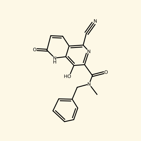 CN(Cc1ccccc1)C(=O)c1nc(C#N)c2ccc(=O)[nH]c2c1O